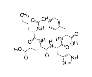 CCCC[C@H](NC(C)=O)C(=O)N[C@@H](CCC(=O)O)C(=O)N[C@@H](Cc1c[nH]cn1)C(=O)N[C@H](Cc1ccccc1)C(=O)O